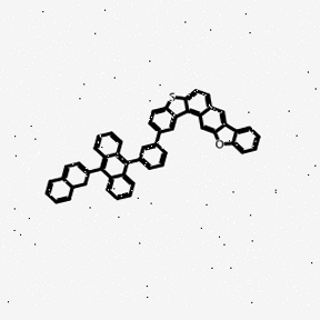 C1=CC2=CC=C(c3c4ccccc4c(-c4cccc(-c5ccc6sc7ccc8cc9c(cc8c7c6c5)oc5ccccc59)c4)c4ccccc34)CC2C=C1